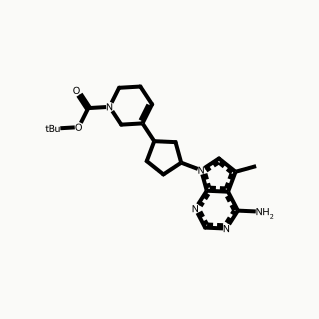 Cc1cn(C2CCC(C3=CCCN(C(=O)OC(C)(C)C)C3)C2)c2ncnc(N)c12